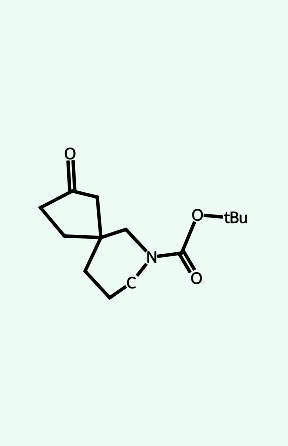 CC(C)(C)OC(=O)N1CCCC2(CCC(=O)C2)C1